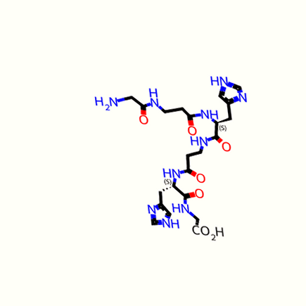 NCC(=O)NCCC(=O)N[C@@H](Cc1c[nH]cn1)C(=O)NCCC(=O)N[C@@H](Cc1c[nH]cn1)C(=O)NCC(=O)O